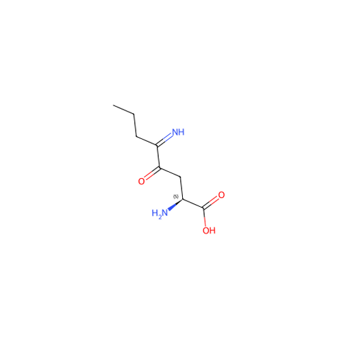 CCCC(=N)C(=O)C[C@H](N)C(=O)O